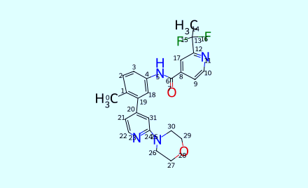 Cc1ccc(NC(=O)c2ccnc(C(C)(F)F)c2)cc1-c1ccnc(N2CCOCC2)c1